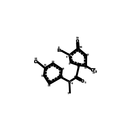 CCn1cc(C(=O)N(C)c2ccc(Cl)cc2)c(C(F)(F)F)cc1=O